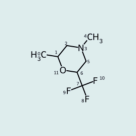 CC1CN(C)CC(C(F)(F)F)O1